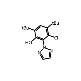 CC(C)(C)c1cc(C(C)(C)C)c(Cl)c(-n2nccn2)c1O